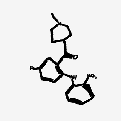 CN1CCC(C(=O)c2cc(F)ccc2Nc2ccccc2[N+](=O)[O-])CC1